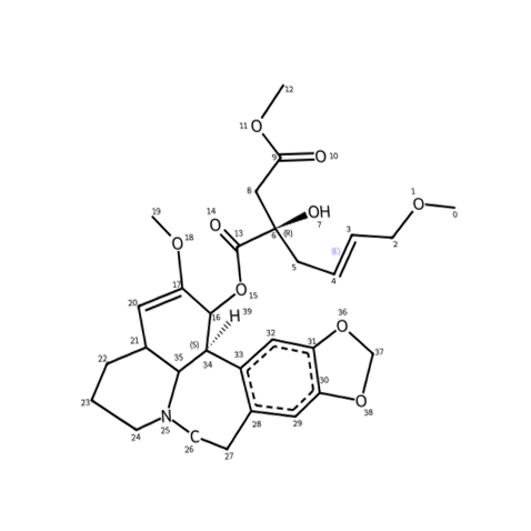 COC/C=C/C[C@@](O)(CC(=O)OC)C(=O)OC1C(OC)=CC2CCCN3CCc4cc5c(cc4[C@H]1C23)OCO5